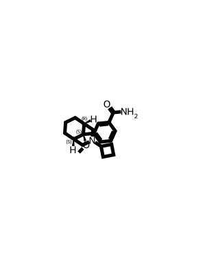 CO[C@]1(c2cccc(C(N)=O)c2)[C@@H]2CCC[C@H]1CN(C1CCC1)C2